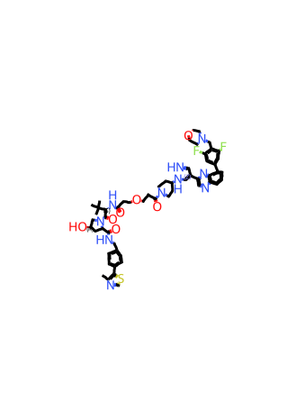 Cc1ncsc1-c1ccc(CNC(=O)C2C[C@@H](O)CN2C(=O)[C@@H](NC(=O)CCOCCC(=O)N2CCC(N/C=C(\C=N)c3cnc4cccc(-c5cc(F)c(CN6CCOCC6)c(F)c5)c4n3)CC2)C(C)(C)C)cc1